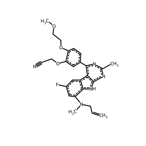 C=CCN(C)c1cc(F)cc2c1[nH]c1nc(C)nc(-c3ccc(OCCOC)c(OCC#N)c3)c12